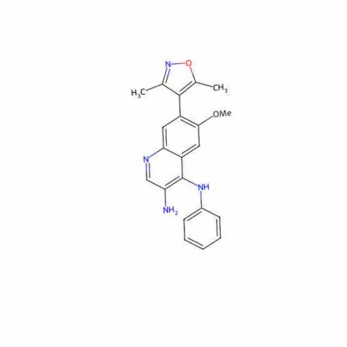 COc1cc2c(Nc3ccccc3)c(N)cnc2cc1-c1c(C)noc1C